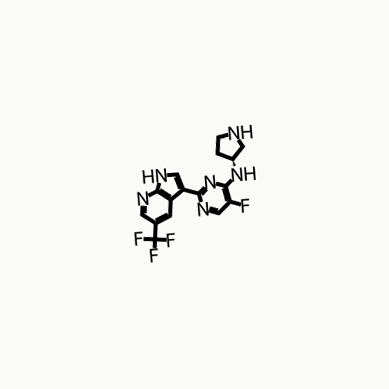 Fc1cnc(-c2c[nH]c3ncc(C(F)(F)F)cc23)nc1N[C@@H]1CCNC1